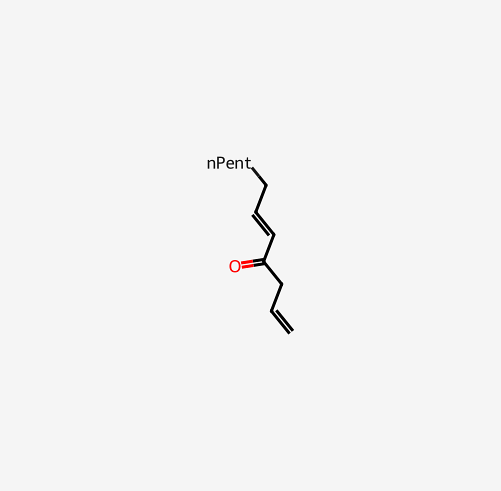 C=CCC(=O)C=CCCCCCC